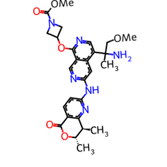 COCC(C)(N)c1cnc(OC2CN(C(=O)OC)C2)c2cnc(Nc3ccc4c(n3)[C@@H](C)[C@H](C)OC4=O)cc12